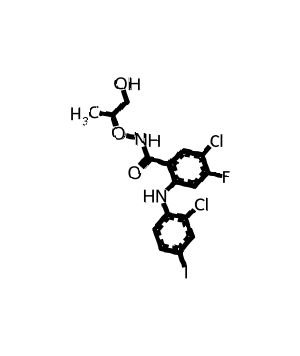 CC(CO)ONC(=O)c1cc(Cl)c(F)cc1Nc1ccc(I)cc1Cl